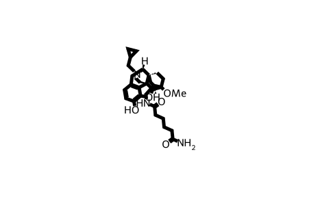 COC12CC[C@@]3(C[C@@H]1CNC(=O)CCCCC(N)=O)[C@H]1Cc4ccc(O)c5c4[C@@]3(CCN1CC1CC1)C2O5